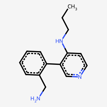 CCCNc1ccncc1-c1ccccc1CN